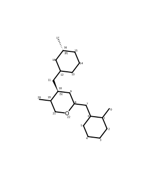 CC1CCCCC1CC1C[C@H](CC2CCC[C@@H](C)C2)C(C)CO1